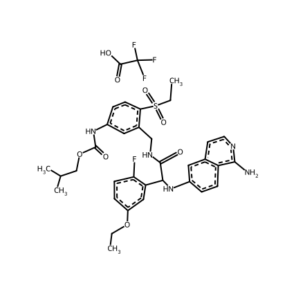 CCOc1ccc(F)c(C(Nc2ccc3c(N)nccc3c2)C(=O)NCc2cc(NC(=O)OCC(C)C)ccc2S(=O)(=O)CC)c1.O=C(O)C(F)(F)F